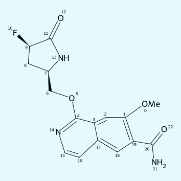 COc1cc2c(OC[C@H]3C[C@@H](F)C(=O)N3)nccc2cc1C(N)=O